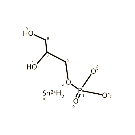 O=P([O-])([O-])OCC(O)CO.[SnH2+2]